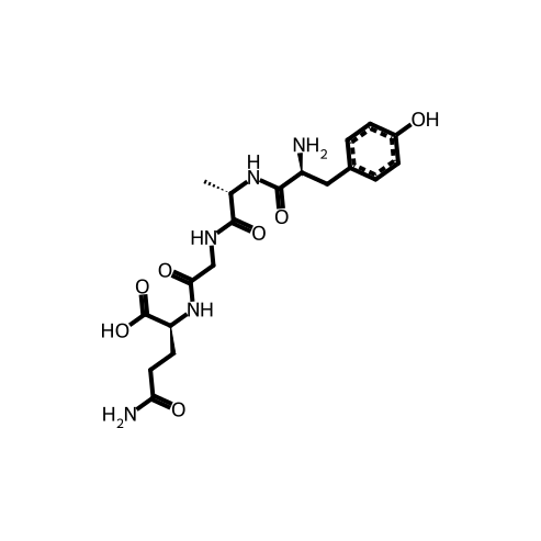 C[C@H](NC(=O)[C@@H](N)Cc1ccc(O)cc1)C(=O)NCC(=O)N[C@@H](CCC(N)=O)C(=O)O